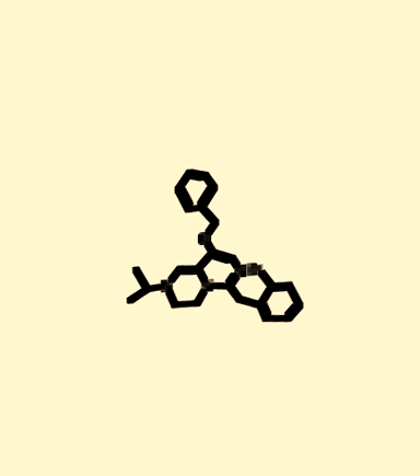 CC(C)N1C=C2C(OCc3ccccc3)=CN=C(Cc3ccccc3Br)N2CC1